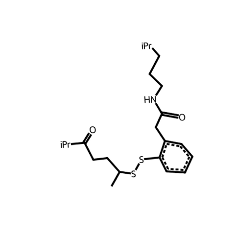 CC(C)CCCNC(=O)Cc1ccccc1SSC(C)CCC(=O)C(C)C